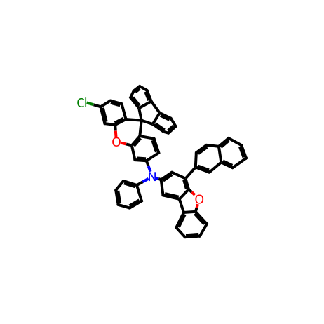 Clc1ccc2c(c1)Oc1cc(N(c3ccccc3)c3cc(-c4ccc5ccccc5c4)c4oc5ccccc5c4c3)ccc1C21c2ccccc2-c2ccccc21